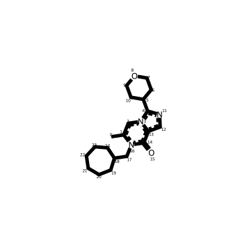 Cc1cn2c(C3CCOCC3)ncc2c(=O)n1CC1CCCCCC1